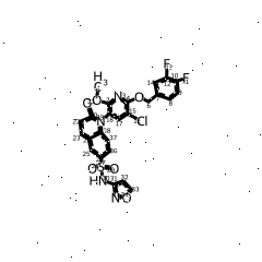 COc1nc(OCc2ccc(F)c(F)c2)c(Cl)cc1-n1c(=O)ccc2cc(S(=O)(=O)Nc3ccon3)ccc21